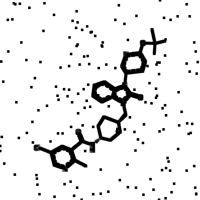 Cc1ncc(Cl)cc1C(=O)N[C@H]1CC[C@H](Cn2c(=O)n(-c3ccc(OC(C)(C)C)nc3)c3ccccc32)CC1